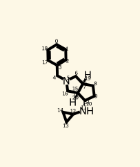 c1ccc(CN2C[C@@H]3CC[C@H](NC4CC4)[C@@H]3C2)cc1